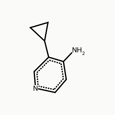 Nc1ccncc1C1CC1